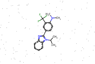 CC(C)n1c(-c2ccc(N(C)C)c(C(F)(F)F)c2)nc2ccccc21